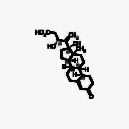 C=C([C@H](O)CC(=O)O)[C@]1(O)CC[C@H]2[C@@H]3CCC4=CC(=O)CC[C@@H]4[C@H]3CC[C@@]21C